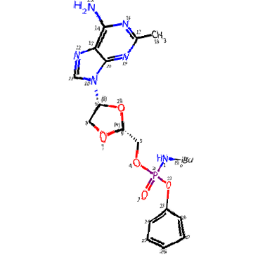 CC[C@H](C)NP(=O)(OC[C@@H]1OC[C@H](n2cnc3c(N)nc(C)nc32)O1)Oc1ccccc1